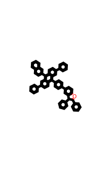 c1ccc(-c2ccc3c(-c4ccc5ccccc5c4)c4cc(-c5ccccc5)ccc4c(-c4ccc(-c5ccc6c(c5)C(c5ccccc5)C(c5ccccc5)O6)cc4)c3c2)cc1